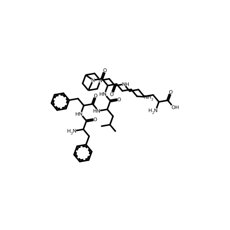 CC(C)CC(NC(=O)C(Cc1ccccc1)NC(=O)C(N)Cc1ccccc1)C(=O)NC(CCCCN)C(=O)N1C2CC1CN(CC(=O)NCCCCC(N)C(=O)O)C2